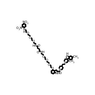 Cc1ccc2c(c1)NC[C@]21CCN(CCC2CCN(C(=O)c3cc4c(OCCOCCOCCOCCNC(=O)CCC(=O)NCCOCCOCCOCCNc5ccc([N+](=O)[O-])cc5[N+](=O)[O-])cccc4[nH]3)CC2)C[C@H]1C